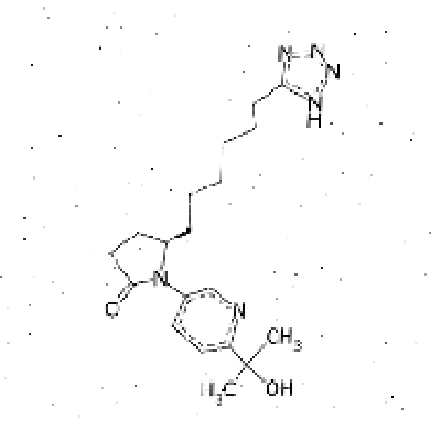 CC(C)(O)c1ccc(N2C(=O)CC[C@H]2CCCCCCc2nnn[nH]2)cn1